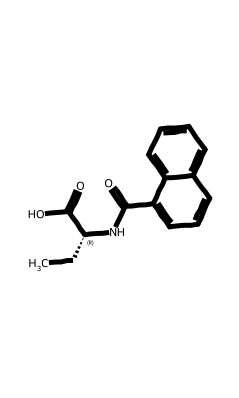 CC[C@@H](NC(=O)c1cccc2ccccc12)C(=O)O